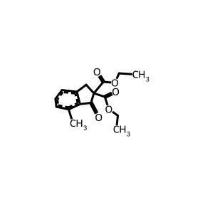 CCOC(=O)C1(C(=O)OCC)Cc2cccc(C)c2C1=O